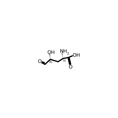 N[C@@H](C[C@@H](O)C=O)C(=O)O